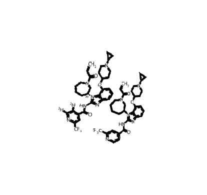 C=CC(=O)N1CCCCC(n2c(NC(=O)c3ccnc(C(F)(F)F)c3)nc3cccc(OC4CCN(C5CC5)CC4)c32)C1.[2H]c1nc(C(F)(F)F)cc(C(=O)Nc2nc3cccc(OC4CCN(C5CC5)CC4)c3n2[C@@H]2CCCCN(C(=O)C=C)C2)c1[2H]